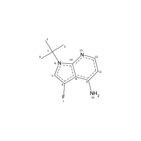 CC(C)(C)n1cc(F)c2c(N)ccnc21